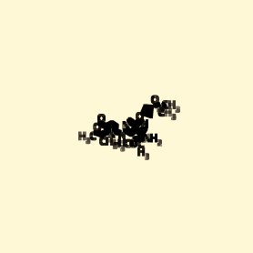 COC[C@@](C)(N)c1cnc(O[C@H]2C[C@@H](C(=O)N(C)C)C2)c2cnc(Nc3ccc4c(n3)[C@@H](C)[C@H](C)OC4=O)cc12